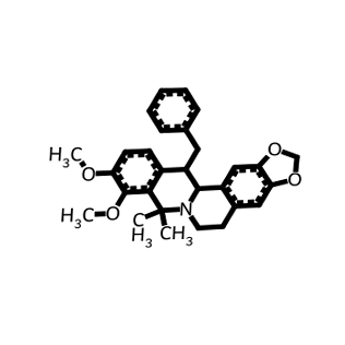 COc1ccc2c(c1OC)C(C)(C)N1CCc3cc4c(cc3C1C2Cc1ccccc1)OCO4